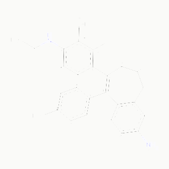 CCNc1ccc(C2=C(c3ccc(C)cc3)c3ccc(N)cc3CCC2)c(C)c1C